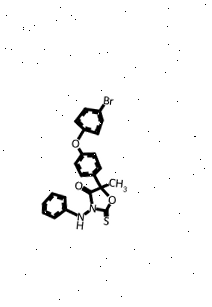 CC1(c2ccc(Oc3ccc(Br)cc3)cc2)OC(=S)N(Nc2ccccc2)C1=O